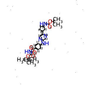 CC(C)OC(=O)N[C@@H]1CC[C@H](c2cnc(Nc3ccc(S(=O)(=O)NC(=O)OC(C)(C)C)cc3)cn2)C1